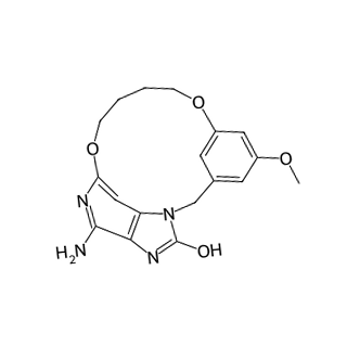 COc1cc2cc(c1)OCCCCOc1cc3c(nc(O)n3C2)c(N)n1